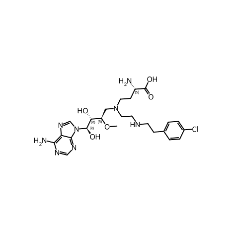 CO[C@H](CN(CCNCCc1ccc(Cl)cc1)CC[C@H](N)C(=O)O)[C@@H](O)[C@@H](O)n1cnc2c(N)ncnc21